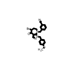 COc1ccc(Cn2ncc3c2N(Cc2cccc(C#N)c2)CCC(Br)C3=O)cc1